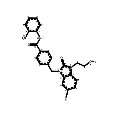 COCCn1c(=O)n(Cc2ccc(C(=O)Nc3ccccc3N)cc2)c2cc(F)ccc21